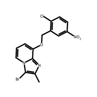 Cc1nc2c(OCc3cc([N+](=O)[O-])ccc3Cl)cccn2c1Br